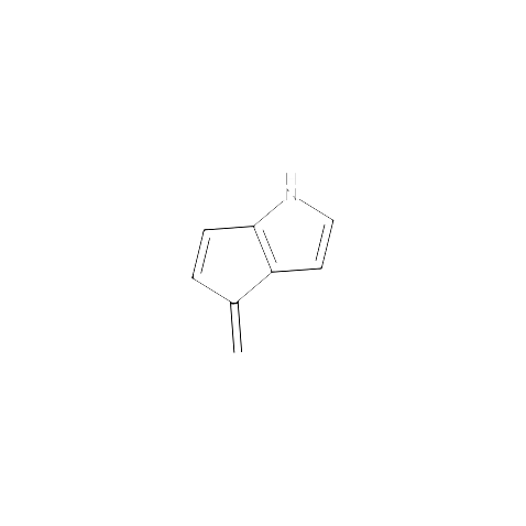 C=C1C=Cc2[nH]ccc21